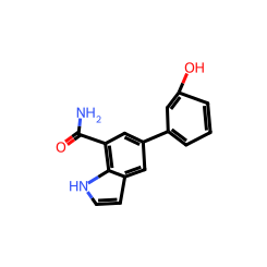 NC(=O)c1cc(-c2cccc(O)c2)cc2cc[nH]c12